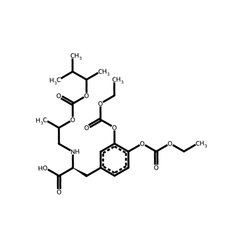 CCOC(=O)Oc1ccc(C[C@H](NCC(C)OC(=O)OC(C)C(C)C)C(=O)O)cc1OC(=O)OCC